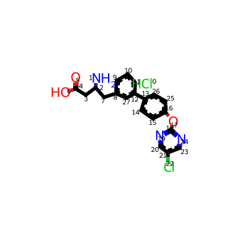 Cl.NC(CC(=O)O)Cc1cccc(-c2ccc(Oc3ncc(Cl)cn3)cc2)c1